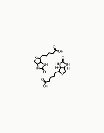 O=C(O)CCCC[C@@H]1SCC2NC(=O)NC21.O=C(O)CCCC[C@@H]1SC[C@@H]2NC(=O)N[C@@H]21